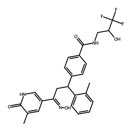 Cc1ccccc1C(C/C(=N\O)c1c[nH]c(=O)c(C)c1)c1ccc(C(=O)NCC(O)C(F)(F)F)cc1